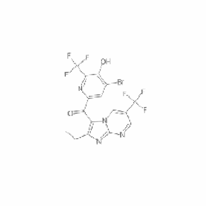 CCc1nc2ncc(C(F)(F)F)cn2c1C(=O)c1cc(Br)c(O)c(C(F)(F)F)n1